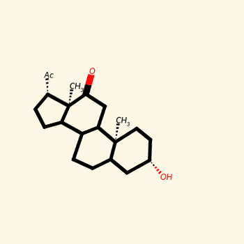 CC(=O)[C@H]1CCC2C3CCC4C[C@@H](O)CC[C@]4(C)C3CC(=O)[C@@]21C